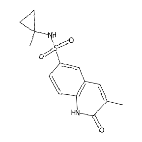 Cc1cc2cc(S(=O)(=O)NC3(C)CC3)ccc2[nH]c1=O